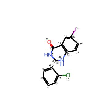 O=C1N[C@@H](c2ccccc2Cl)Nc2ccc(I)cc21